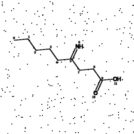 CCCCCC(=N)CCC(=O)O